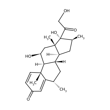 C[C@H]1C[C@@H]2[C@H]([C@@H](O)C[C@@]3(C)[C@H]2C[C@H](C)[C@]3(O)C(=O)CO)[C@@]2(C)C=CC(=O)C=C12